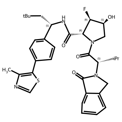 Cc1ncsc1-c1ccc([C@H](CC(C)(C)C)NC(=O)[C@@H]2[C@@H](F)[C@@H](O)CN2C(=O)[C@H](C(C)C)N2Cc3ccccc3C2=O)cc1